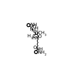 Cc1[nH]c(/C=N/N=C2\C(=O)Nc3ccccc32)c(C)c1C(=O)NCCCCCC(=O)Nc1ccccc1N